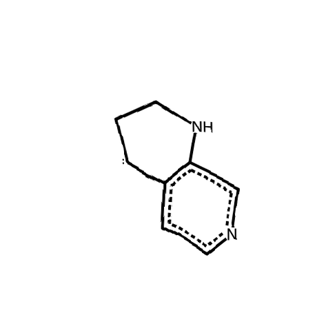 [C]1CCNc2cnccc21